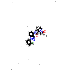 CC(=O)N1CC[C@@H]2CN(c3cccc4c3cnn4-c3ccccc3F)C(=O)[C@@H]21